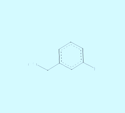 CCCCCc1cccc(F)c1